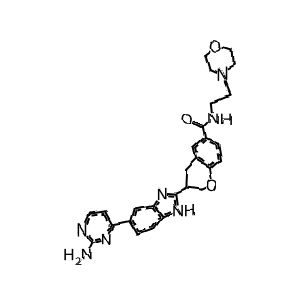 Nc1nccc(-c2ccc3[nH]c(C4COc5ccc(C(=O)NCCN6CCOCC6)cc5C4)nc3c2)n1